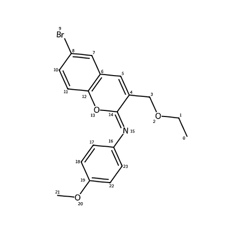 CCOCc1cc2cc(Br)ccc2oc1=Nc1ccc(OC)cc1